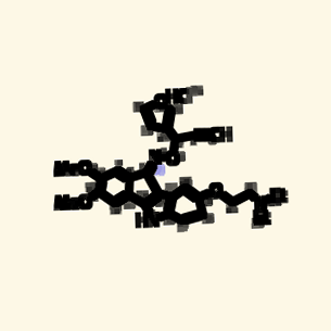 C#CC(O/N=C1/c2cc(OC)c(OC)cc2-c2[nH]c3ccc(OCCN(CC)CC)cc3c21)c1ccoc1.Cl